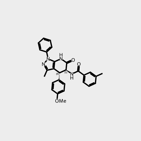 COc1ccc([C@@H]2c3c(C)nn(-c4ccccc4)c3NC(=O)[C@H]2NC(=O)c2cccc(C)c2)cc1